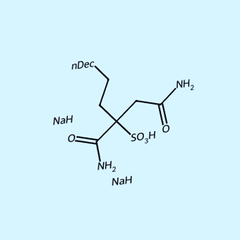 CCCCCCCCCCCCC(CC(N)=O)(C(N)=O)S(=O)(=O)O.[NaH].[NaH]